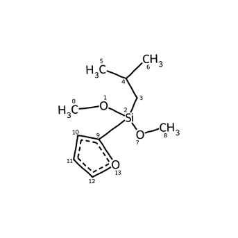 CO[Si](CC(C)C)(OC)c1ccco1